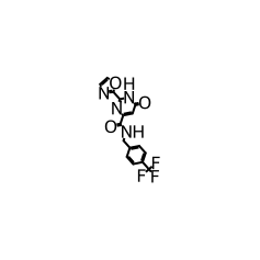 O=C(NCc1ccc(C(F)(F)F)cc1)c1cc(=O)[nH]c(-c2ncco2)n1